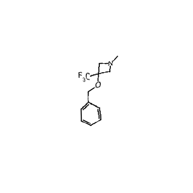 CN1CC(OCc2ccccc2)(C(F)(F)F)C1